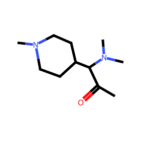 CC(=O)C(C1CCN(C)CC1)N(C)C